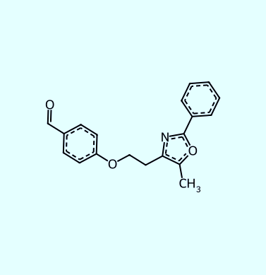 Cc1oc(-c2ccccc2)nc1CCOc1ccc(C=O)cc1